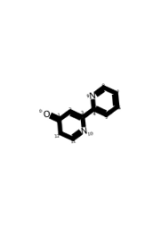 O=C1C=C(c2ccccn2)N=CC1